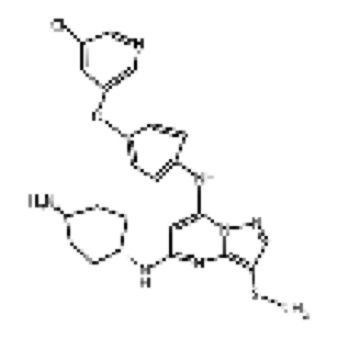 CSc1cnn2c(Nc3ccc(Oc4cncc(Cl)c4)cc3)cc(N[C@H]3CC[C@H](N)CC3)nc12